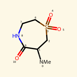 CNC1CS(=O)(=O)CCNC1=O